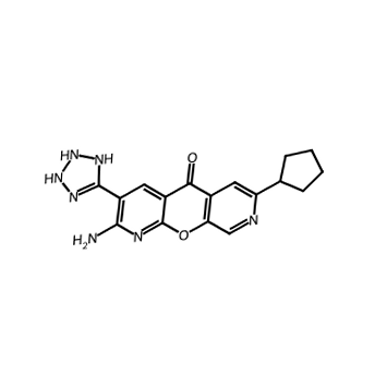 Nc1nc2oc3cnc(C4CCCC4)cc3c(=O)c2cc1C1=NNNN1